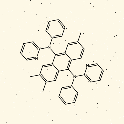 Cc1ccc2c(N(c3ccccc3)c3ccccn3)c3cc(C)c(C)cc3c(N(c3ccccc3)c3ccccn3)c2c1